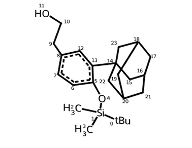 CC(C)(C)[Si](C)(C)Oc1ccc(CCO)cc1C12CC3CC(CC(C3)C1)C2